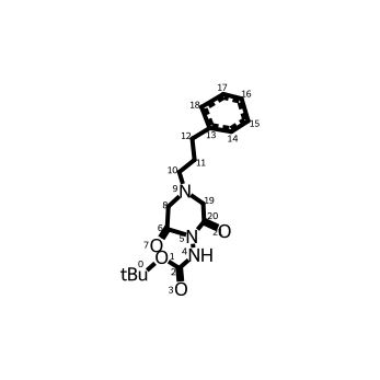 CC(C)(C)OC(=O)NN1C(=O)CN(CCCc2ccccc2)CC1=O